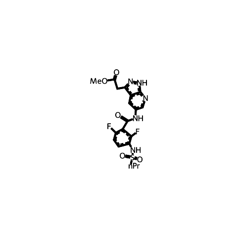 CCCS(=O)(=O)Nc1ccc(F)c(C(=O)Nc2cnc3[nH]nc(CC(=O)OC)c3c2)c1F